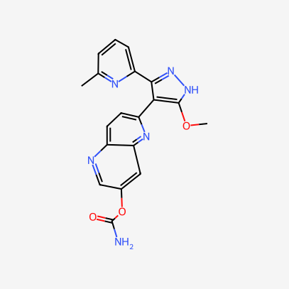 COc1[nH]nc(-c2cccc(C)n2)c1-c1ccc2ncc(OC(N)=O)cc2n1